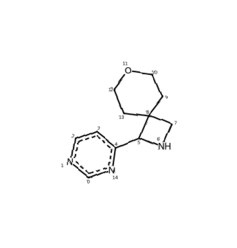 [c]1nccc(C2NCC23CCOCC3)n1